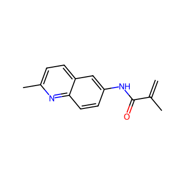 C=C(C)C(=O)Nc1ccc2nc(C)ccc2c1